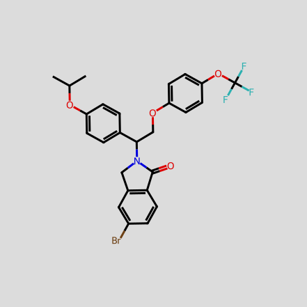 CC(C)Oc1ccc(C(COc2ccc(OC(F)(F)F)cc2)N2Cc3cc(Br)ccc3C2=O)cc1